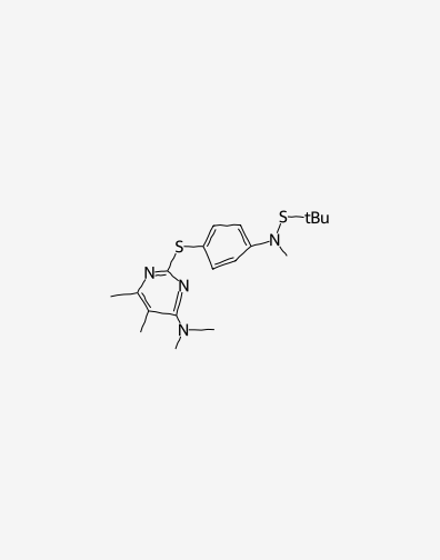 Cc1nc(Sc2ccc(N(C)SC(C)(C)C)cc2)nc(N(C)C)c1C